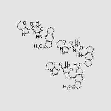 CC1CCc2cc3c(c(NC(=O)N=S(N)(=O)c4cnn5c4OCCC5)c21)CCC3.C[C@@H]1CCc2cc3c(c(NC(=O)N=S(N)(=O)c4cnn5c4OCCC5)c21)CCC3.C[C@H]1CCc2cc3c(c(NC(=O)N=S(N)(=O)c4cnn5c4OCCC5)c21)CCC3